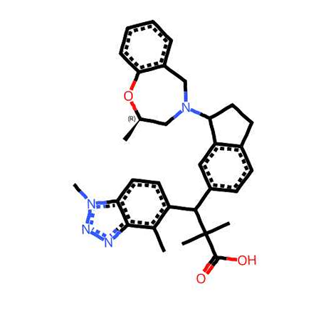 Cc1c(C(c2ccc3c(c2)C(N2Cc4ccccc4O[C@H](C)C2)CC3)C(C)(C)C(=O)O)ccc2c1nnn2C